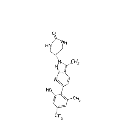 Cc1cc(C(F)(F)F)cc(O)c1-c1ccc2c(C)n(C3CNC(=O)NC3)nc2n1